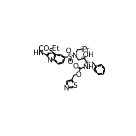 CCOC(=O)Nc1nc2ccc(S(=O)(=O)N(CC(C)C)C[C@@H](O)[C@H](Cc3ccccc3)NC(=O)OCc3cncs3)cc2s1